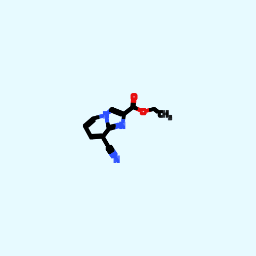 CCOC(=O)c1cn2cccc(C#N)c2n1